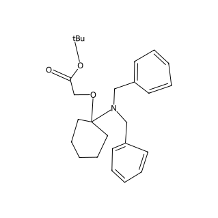 CC(C)(C)OC(=O)COC1(N(Cc2ccccc2)Cc2ccccc2)CCCCC1